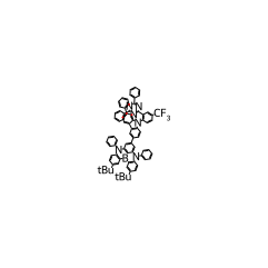 CC(C)(C)c1ccc2c(c1)B1c3cc(C(C)(C)C)ccc3N(c3ccccc3)c3cc(-c4ccc5c(c4)c4ccc(-c6ccccc6)cc4n5-c4ccc(C(F)(F)F)cc4-c4nc(-c5ccccc5)nc(-c5ccccc5)n4)cc(c31)N2c1ccccc1